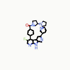 O=C(c1ccc(-c2c(F)cnc3[nH]c4cnc(-c5cccnc5)cc4c23)cc1)N1CCC(N2CCCC2)C1